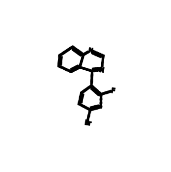 Fc1cc(Br)ccc1-c1ncnc2ccccc12